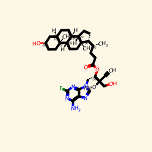 C#CC(CO)(OC)[C@H](Cn1cnc2c(N)nc(F)nc21)OC(=O)CC[C@@H](C)[C@H]1CC[C@H]2[C@@H]3CC[C@@H]4C[C@H](O)CC[C@]4(C)[C@H]3CC[C@]12C